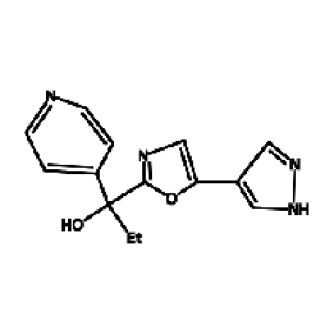 CCC(O)(c1ccncc1)c1ncc(-c2cn[nH]c2)o1